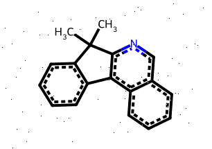 CC1(C)c2ccccc2-c2c1ncc1ccccc21